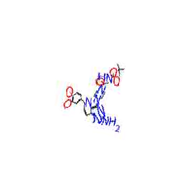 COc1ccc(-c2ccc3nc(N)nc(N4CCN(C(=O)CNC(=O)OC(C)(C)C)CC4)c3n2)cc1OC